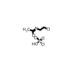 C/C(Cl)=N/CCCl.O=P(O)(Cl)Cl